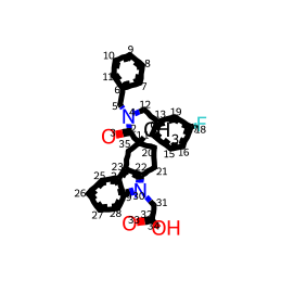 CC1(C(=O)N(Cc2ccccc2)Cc2cccc(F)c2)CCc2c(c3ccccc3n2CC(=O)O)C1